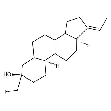 C/C=C1\CCC2C3CCC4C[C@@](O)(CF)CC[C@@H]4C3CC[C@]12C